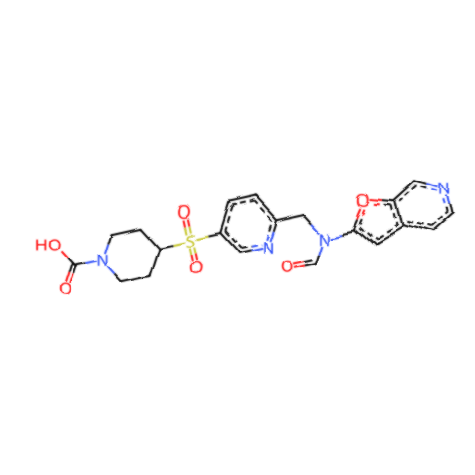 O=CN(Cc1ccc(S(=O)(=O)C2CCN(C(=O)O)CC2)cn1)c1cc2ccncc2o1